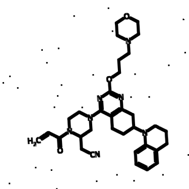 C=CC(=O)N1CCN(c2nc(OCCCN3CCOCC3)nc3c2CCC(N2CCCc4ccccc42)C3)CC1CC#N